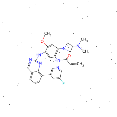 C=CC(=O)Nc1cc(Nc2ncc3cccc(-c4cncc(F)c4)c3n2)c(OC)cc1N1CC(N(C)C)C1